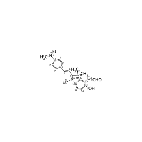 CCN(C)c1ccc(/C=C/C2=[N+](CC)c3ccc(O)c(OC=O)c3C2(C)C)cc1